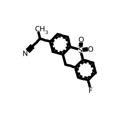 CC(C#N)c1ccc2c(c1)Cc1cc(F)ccc1S2(=O)=O